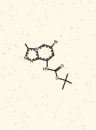 Cc1nnc2c(NC(=O)OC(C)(C)C)cc(Br)cn12